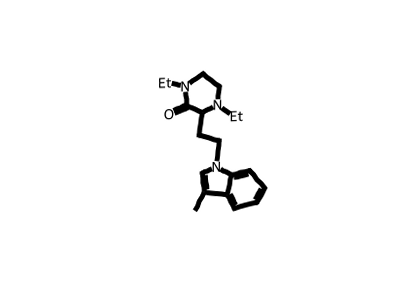 CCN1CCN(CC)C(CCn2cc(C)c3ccccc32)C1=O